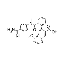 COc1cccc2cc(C(=O)O)c(-c3ccccc3C(=O)Nc3ccc(C(=N)N)cc3)cc12